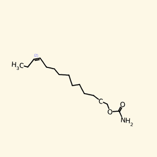 CC/C=C\CCCCCCCCCCOC(N)=O